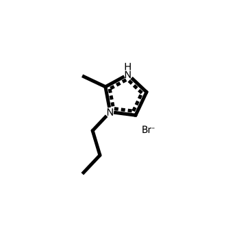 CCC[n+]1cc[nH]c1C.[Br-]